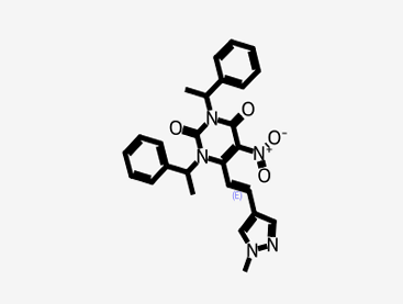 CC(c1ccccc1)n1c(/C=C/c2cnn(C)c2)c([N+](=O)[O-])c(=O)n(C(C)c2ccccc2)c1=O